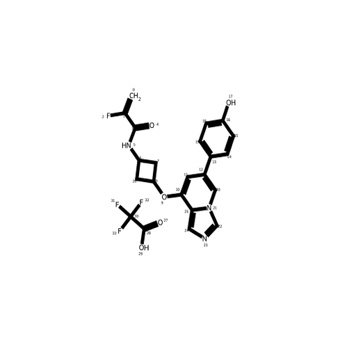 C=C(F)C(=O)NC1CC(Oc2cc(-c3ccc(O)cc3)cn3cncc23)C1.O=C(O)C(F)(F)F